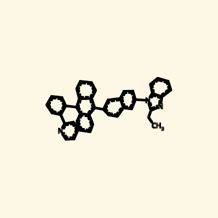 CCc1nc2ccccc2n1-c1ccc2cc(-c3c4ccccc4c(-c4ccccc4-c4ccccn4)c4ccccc34)ccc2c1